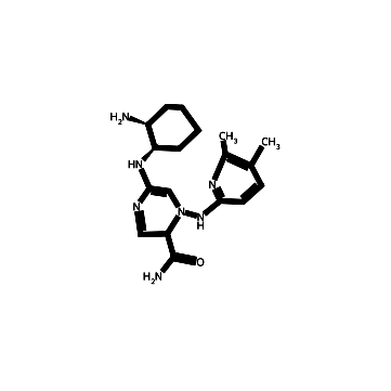 Cc1ccc(NN2C=C(N[C@@H]3CCCC[C@@H]3N)N=CC2C(N)=O)nc1C